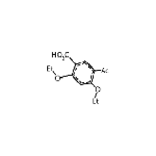 CCOc1cc(OCC)c(C(=O)O)cc1C(C)=O